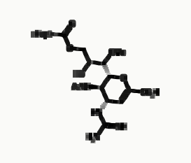 CCCCCCCC(=O)OCC(O)C(OC)[C@@H]1OC(C(=O)O)=C[C@H](NC(=N)N)[C@H]1NC(C)=O